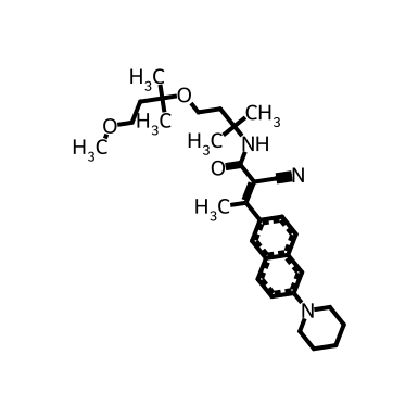 COCCC(C)(C)OCCC(C)(C)NC(=O)/C(C#N)=C(\C)c1ccc2cc(N3CCCCC3)ccc2c1